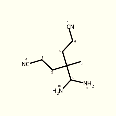 CC(CCC#N)(CCC#N)C(N)N